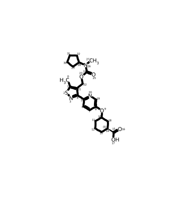 Cc1snc(-c2ccc(OC3CCC[C@H](C(=O)O)C3)cn2)c1COC(=O)N(C)C1CCCC1